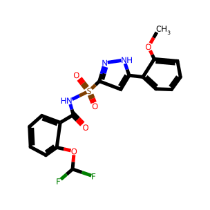 COc1ccccc1-c1cc(S(=O)(=O)NC(=O)c2ccccc2OC(F)F)n[nH]1